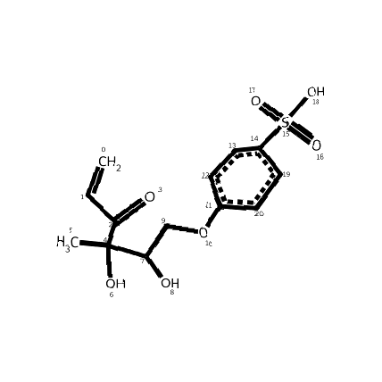 C=CC(=O)C(C)(O)C(O)COc1ccc(S(=O)(=O)O)cc1